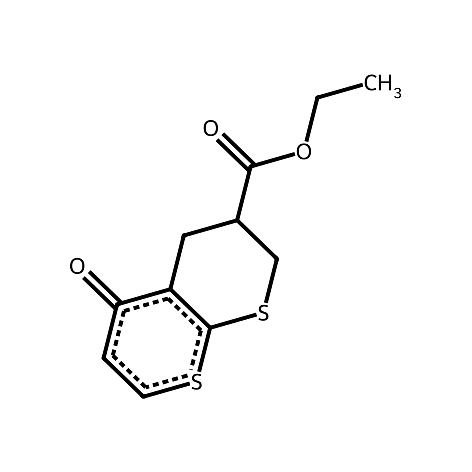 CCOC(=O)C1CSc2sccc(=O)c2C1